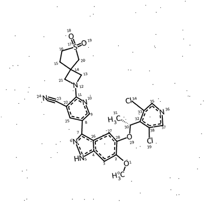 COc1cc2[nH]nc(-c3cnc(N4CC5(CCS(=O)(=O)C5)C4)c(C#N)c3)c2cc1O[C@H](C)c1c(Cl)cncc1Cl